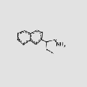 CCC([CH]N)c1ccc2ccccc2c1